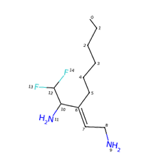 CCCCCC/C(=C\CN)C(N)C(F)F